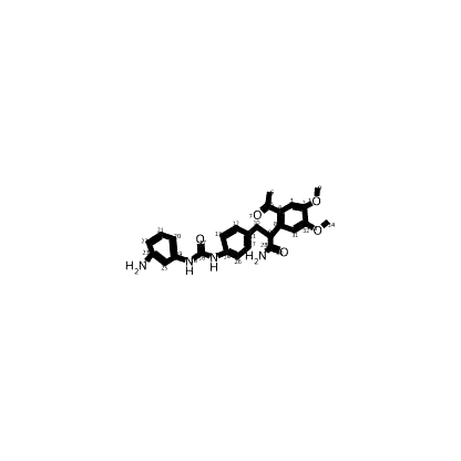 COc1cc(C(C)=O)c(C(Cc2ccc(NC(=O)Nc3cccc(N)c3)cc2)C(N)=O)cc1OC